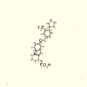 O=C(O)C[C@H]1CCCn2c1cc1cc(OCc3ccc(C4CCCC4)c(C(F)(F)F)c3)ccc12